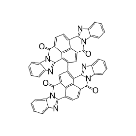 O=c1c2cc(-c3cc4c(=O)n5c6ccccc6nc5c5ccc6c(=O)n7c8ccccc8nc7c3c6c45)c3c4c(ccc(c24)c2nc4ccccc4n12)c(=O)n1c2ccccc2nc31